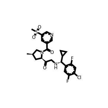 C[C@@H]1C[C@H](C(=O)CN[C@@H](c2cc(F)c(Cl)cc2F)C2CC2)N(C(=O)c2cncc(S(C)(=O)=O)c2)C1